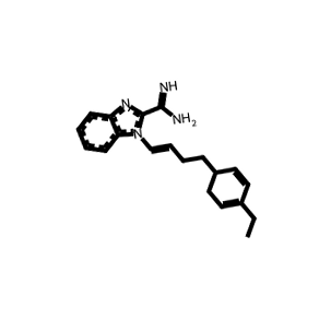 CCC1=CCC(CC/C=C/n2c(C(=N)N)nc3ccccc32)C=C1